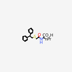 CCCC(NC(=O)CSCC(c1ccccc1)c1ccccc1)C(=O)O